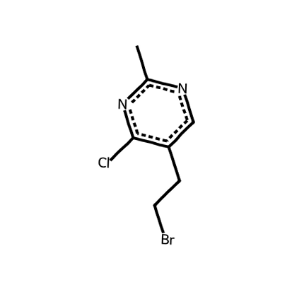 Cc1ncc(CCBr)c(Cl)n1